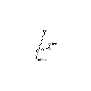 CCCCCC/C=C\COC(CCCCCCBr)OC/C=C\CCCCCC